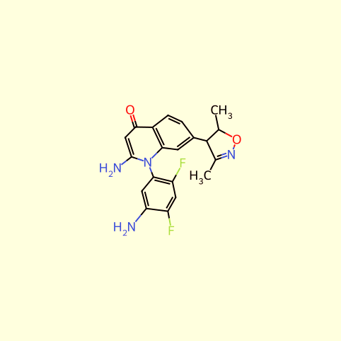 CC1=NOC(C)C1c1ccc2c(=O)cc(N)n(-c3cc(N)c(F)cc3F)c2c1